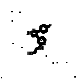 OCCNc1cc(-c2c[nH]nc2-c2ccc(F)cc2)ccn1